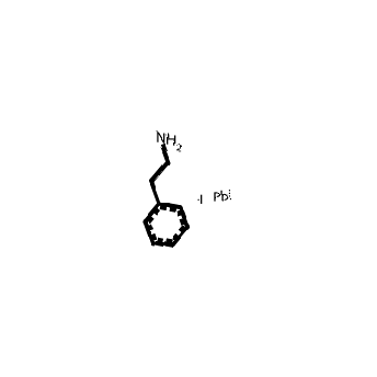 NCCc1ccccc1.[I].[Pb]